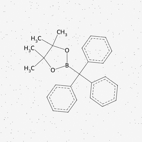 CC1(C)OB(C(c2ccccc2)(c2ccccc2)c2ccccc2)OC1(C)C